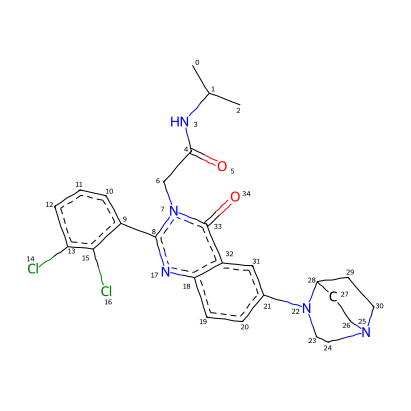 CC(C)NC(=O)Cn1c(-c2cccc(Cl)c2Cl)nc2ccc(N3CCN4CCC3CC4)cc2c1=O